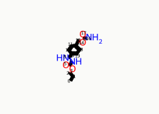 CCCOC(=O)NC(=N)c1ccc(COC(N)=O)cc1